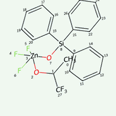 CC([O][Zn]([F])([F])([F])[O][Si](c1ccccc1)(c1ccccc1)c1ccccc1)C(F)(F)F